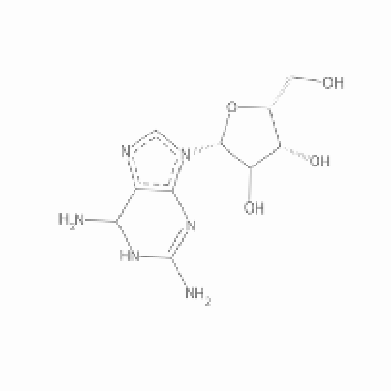 NC1=Nc2c(ncn2[C@@H]2O[C@H](CO)[C@H](O)C2O)C(N)N1